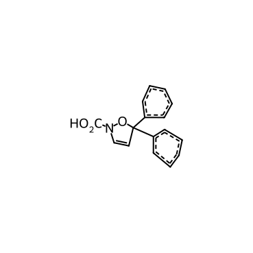 O=C(O)N1C=CC(c2ccccc2)(c2ccccc2)O1